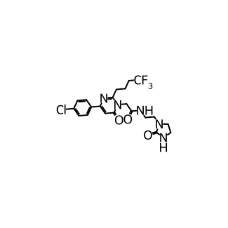 O=C(Cn1c(CCCC(F)(F)F)nc(-c2ccc(Cl)cc2)cc1=O)NCCN1CCNC1=O